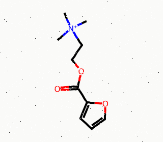 C[N+](C)(C)CCOC(=O)c1ccco1